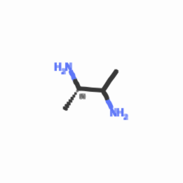 CC(N)[C@H](C)N